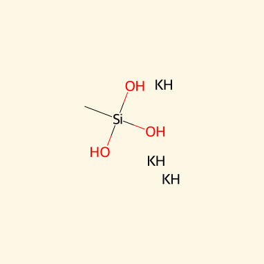 C[Si](O)(O)O.[KH].[KH].[KH]